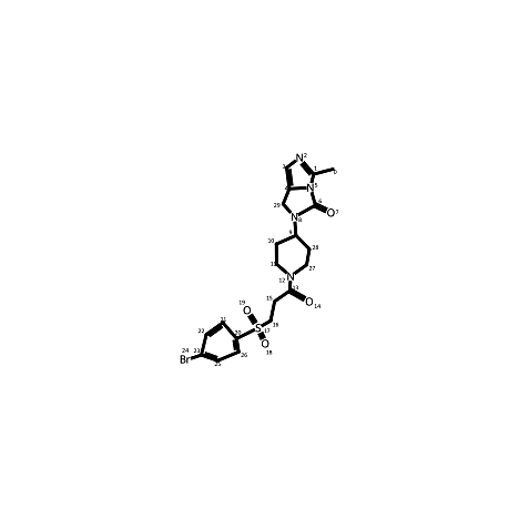 Cc1ncc2n1C(=O)N(C1CCN(C(=O)CCS(=O)(=O)c3ccc(Br)cc3)CC1)C2